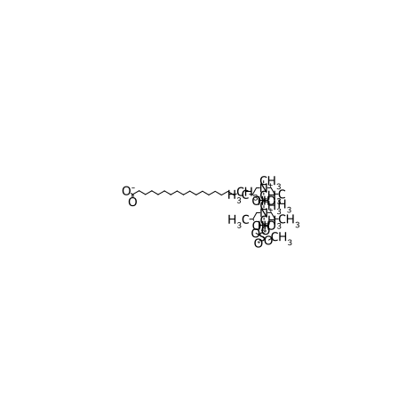 CC(O)C[N+](C)(C)CC(C)O.CC(O)C[N+](C)(C)CC(C)O.CCCCCCCCCCCCCCCCCC(=O)[O-].COS(=O)(=O)[O-]